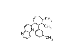 Cc1cccc(C2=C(c3ccc4ncccc4n3)C=CCC(C)C2C)c1